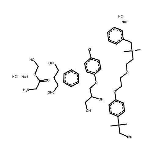 CC(C)(C)CC(C)(C)c1ccc(OCCOCC[N+](C)(C)Cc2ccccc2)cc1.Cl.Cl.NCC(=O)OCO.O=CCCCC=O.OCC(O)COc1ccc(Cl)cc1.[NaH].[NaH].c1ccccc1